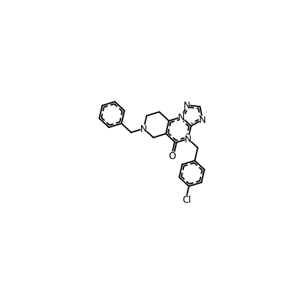 O=c1c2c(n3ncnc3n1Cc1ccc(Cl)cc1)CCN(Cc1ccccc1)C2